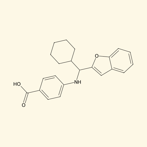 O=C(O)c1ccc(NC(c2cc3ccccc3o2)C2CCCCC2)cc1